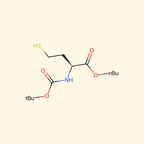 CCCCOC(=O)[C@H](CCS)NC(=O)OC(C)(C)C